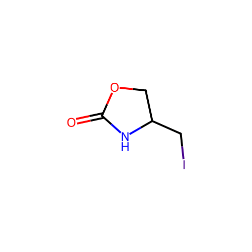 O=C1NC(CI)CO1